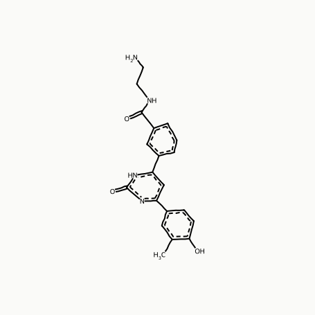 Cc1cc(-c2cc(-c3cccc(C(=O)NCCN)c3)[nH]c(=O)n2)ccc1O